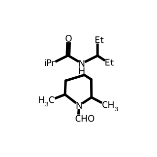 CC1CCCC(C)N1C=O.CCC(CC)NC(=O)C(C)C